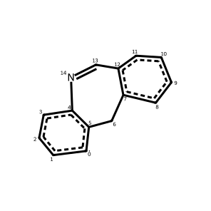 [c]1cccc2c1Cc1ccccc1C=N2